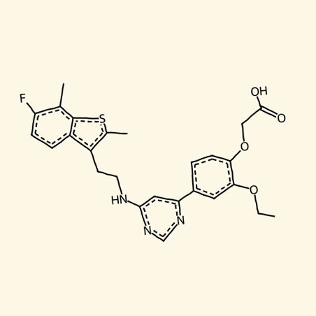 CCOc1cc(-c2cc(NCCc3c(C)sc4c(C)c(F)ccc34)ncn2)ccc1OCC(=O)O